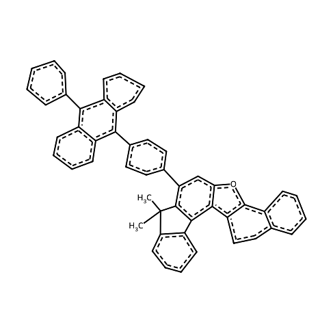 CC1(C)c2ccccc2-c2c1c(-c1ccc(-c3c4ccccc4c(-c4ccccc4)c4ccccc34)cc1)cc1oc3c4ccccc4ccc3c21